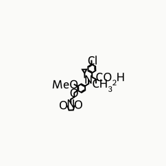 COc1cc(CN(CC2CC2)C(c2ccc(Cl)cc2)C(C)C(=O)O)ccc1OCCN1C(=O)CCC1=O